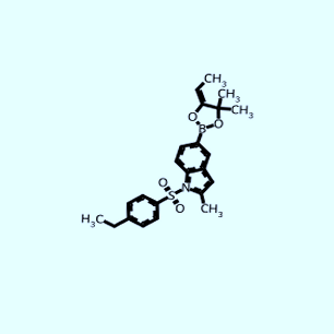 C/C=C1/OB(c2ccc3c(c2)cc(C)n3S(=O)(=O)c2ccc(CC)cc2)OC1(C)C